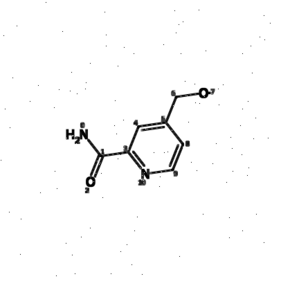 NC(=O)c1cc(C[O])ccn1